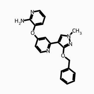 Cn1cc(-c2cc(Oc3cccnc3N)ccn2)c(OCc2ccccc2)n1